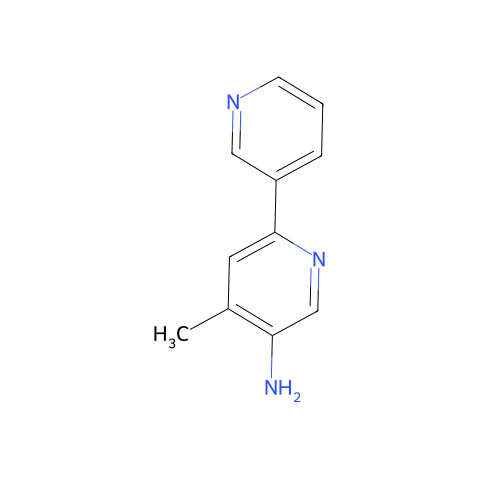 Cc1cc(-c2cccnc2)ncc1N